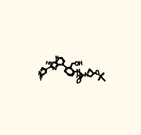 Cn1cc(-c2nc3c(-c4cccc(NC(=O)N5CC(OC(C)(C)C)C5)c4CO)ccnc3[nH]2)cn1